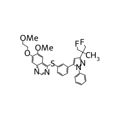 COCCOc1cc2ncnc(Sc3cccc(-c4cc(C(C)(CF)CF)nn4-c4ccccc4)c3)c2cc1OC